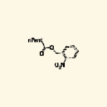 CCCCCC(=O)OCc1ccccc1[N+](=O)[O-]